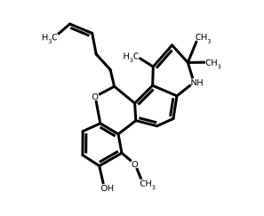 C/C=C\CCC1Oc2ccc(O)c(OC)c2-c2ccc3c(c21)C(C)=CC(C)(C)N3